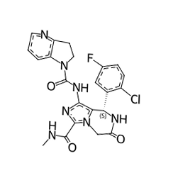 CNC(=O)c1nc(NC(=O)N2CCc3ncccc32)c2n1CC(=O)N[C@H]2c1cc(F)ccc1Cl